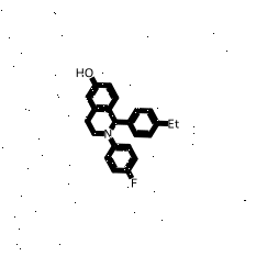 CCc1ccc(C2c3ccc(O)cc3CCN2c2ccc(F)cc2)cc1